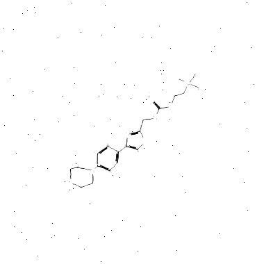 C[Si](C)(C)CCOC(=O)NCc1nc(-c2ccc(N3CCNCC3)cc2)cs1